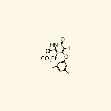 CCOC(=O)c1c(Cl)[nH]c(=O)c(I)c1Oc1cc(C)cc(C)c1